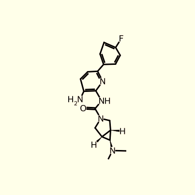 CN(C)[C@H]1[C@@H]2CN(C(=O)Nc3nc(-c4ccc(F)cc4)ccc3N)C[C@@H]21